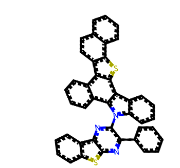 c1ccc(-c2nc3sc4ccccc4c3nc2-n2c3ccccc3c3c4sc5c6ccccc6ccc5c4c4ccccc4c32)cc1